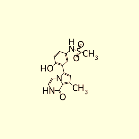 Cc1cc(-c2cc(NS(C)(=O)=O)ccc2O)n2cc[nH]c(=O)c12